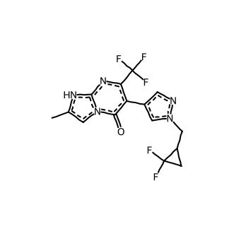 Cc1cn2c(=O)c(-c3cnn(CC4CC4(F)F)c3)c(C(F)(F)F)nc2[nH]1